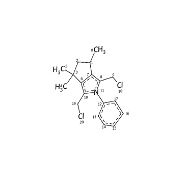 CC1CC(C)(C)c2c1c(CCl)n(-c1ccccc1)c2CCl